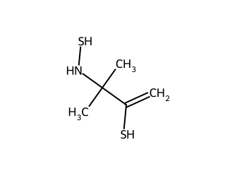 C=C(S)C(C)(C)NS